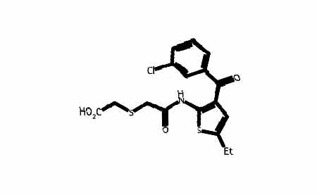 CCc1cc(C(=O)c2cccc(Cl)c2)c(NC(=O)CSCC(=O)O)s1